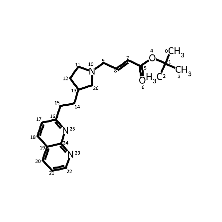 CC(C)(C)OC(=O)/C=C/CN1CCC(CCc2ccc3cccnc3n2)C1